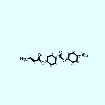 C/C=C/C(=O)O[C@H]1CC[C@H](C(=O)O[C@H]2CC[C@H](CCCC)CC2)CC1